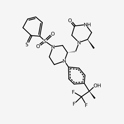 C[C@@H]1CNC(=O)CN1C[C@H]1CN(S(=O)(=O)C2=CC=CCC2=S)CCN1c1ccc([C@](C)(O)C(F)(F)F)cc1